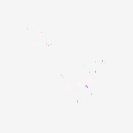 C#Cc1cccc2cc(NC(=O)OC(C)(C)C)cc(-c3nc4c5c(nc(OC)nc5c3F)N3C[C@H]5CC[C@@H]([C@H]3[C@H](C)O4)N5C(=O)OC(C)(C)C)c12